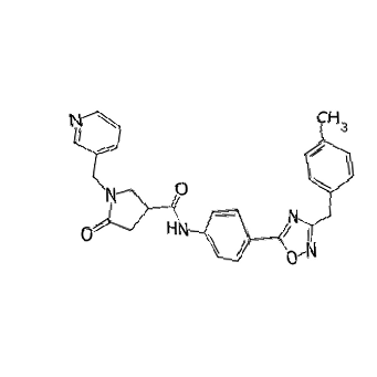 Cc1ccc(Cc2noc(-c3ccc(NC(=O)C4CC(=O)N(Cc5cccnc5)C4)cc3)n2)cc1